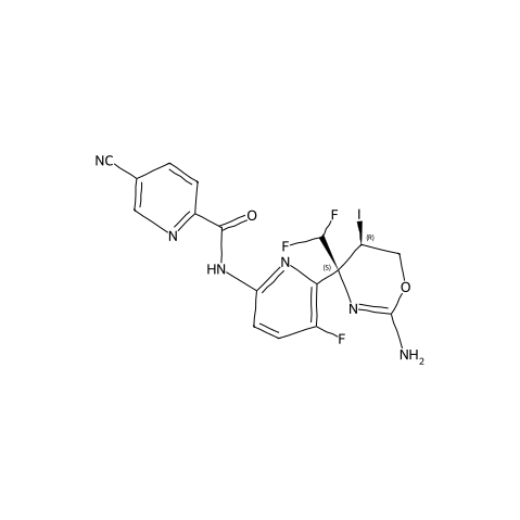 N#Cc1ccc(C(=O)Nc2ccc(F)c([C@@]3(C(F)F)N=C(N)OC[C@@H]3I)n2)nc1